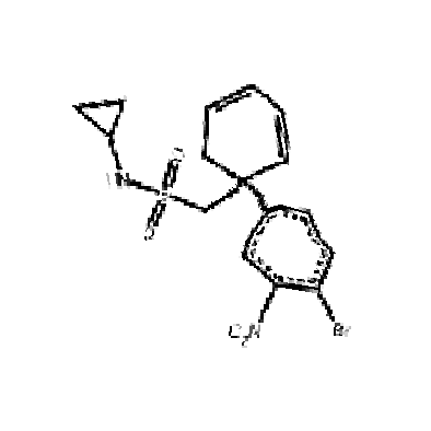 O=[N+]([O-])c1cc(C2(CS(=O)(=O)NC3CC3)C=CC=CC2)ccc1Br